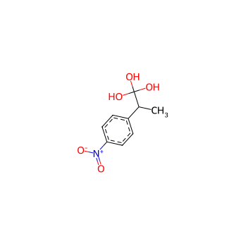 CC(c1ccc([N+](=O)[O-])cc1)C(O)(O)O